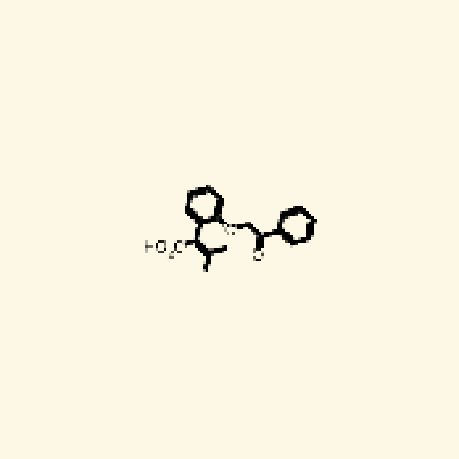 CC(C)=C(C(=O)O)c1ccccc1OCC(=O)c1ccccc1